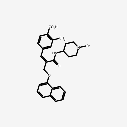 Cc1cc(C=C(COc2cccc3ccccc23)C(=O)NC2CCN(C(C)C)CC2)ccc1C(=O)O